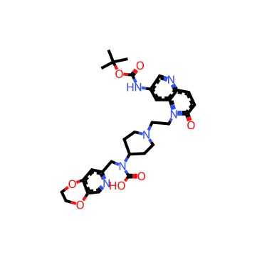 CC(C)(C)OC(=O)Nc1cnc2ccc(=O)n(CCN3CCC(N(Cc4cc5c(cn4)OCCO5)C(=O)O)CC3)c2c1